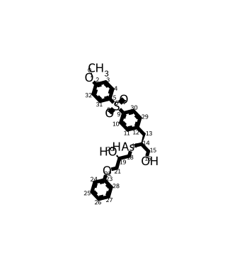 COc1ccc(S(=O)(=O)c2ccc(C[C@@H](CO)[AsH]C[C@@H](O)COc3ccccc3)cc2)cc1